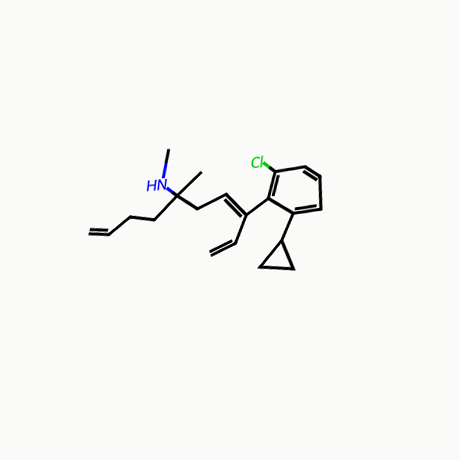 C=CCCC(C)(C/C=C(\C=C)c1c(Cl)cccc1C1CC1)NC